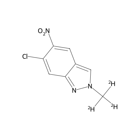 [2H]C([2H])([2H])n1cc2cc([N+](=O)[O-])c(Cl)cc2n1